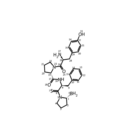 B[C@@H]1CCCN1C(=S)[C@H](Cc1ccccc1)NC(=O)[C@@H]1CCCN1C(=O)[C@@H](N)Cc1ccc(O)cc1